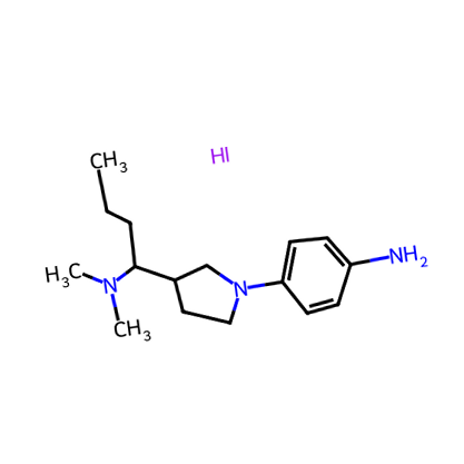 CCCC(C1CCN(c2ccc(N)cc2)C1)N(C)C.I